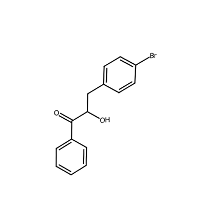 O=C(c1ccccc1)C(O)Cc1ccc(Br)cc1